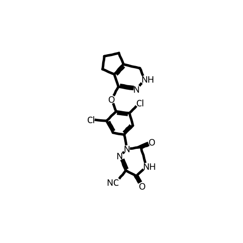 N#Cc1nn(-c2cc(Cl)c(OC3=NNCC4=C3CCC4)c(Cl)c2)c(=O)[nH]c1=O